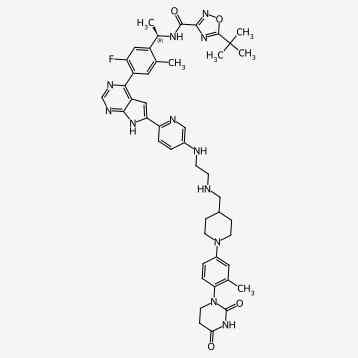 Cc1cc(-c2ncnc3[nH]c(-c4ccc(NCCNCC5CCN(c6ccc(N7CCC(=O)NC7=O)c(C)c6)CC5)cn4)cc23)c(F)cc1[C@@H](C)NC(=O)c1noc(C(C)(C)C)n1